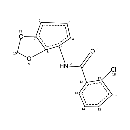 O=C(Nc1cccc2c1OCO2)c1ccccc1Cl